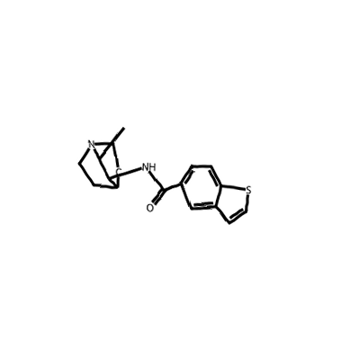 CC1C(NC(=O)c2ccc3sccc3c2)C2CCN1CC2